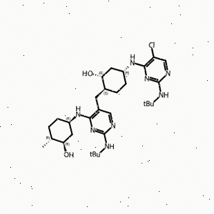 C[C@@H]1CC[C@@H](Nc2nc(NC(C)(C)C)ncc2C[C@@H]2CC[C@@H](Nc3nc(NC(C)(C)C)ncc3Cl)C[C@H]2O)C[C@H]1O